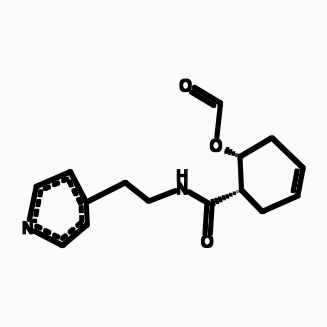 O=CO[C@@H]1CC=CC[C@@H]1C(=O)NCCc1ccncc1